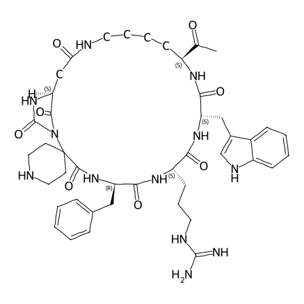 CC(=O)[C@@H]1CCCCNC(=O)C[C@@H]2NC(=O)N(C2=O)C2(CCNCC2)C(=O)N[C@H](Cc2ccccc2)C(=O)N[C@@H](CCCNC(=N)N)C(=O)N[C@@H](Cc2c[nH]c3ccccc23)C(=O)N1